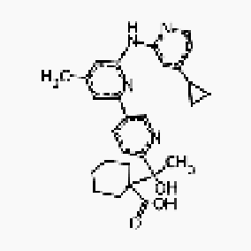 Cc1cc(Nc2cc(C3CC3)ccn2)nc(-c2ccc(C(C)(O)C3(C(=O)O)CCCCC3)nc2)c1